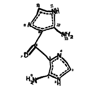 Nc1[nH]cnc1C(=O)c1nc[nH]c1N